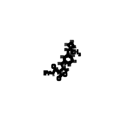 CC(C)CC(=O)N1C(=O)OC[C@@H]1Cc1cccc(C[N+]2(C)CCC2)c1